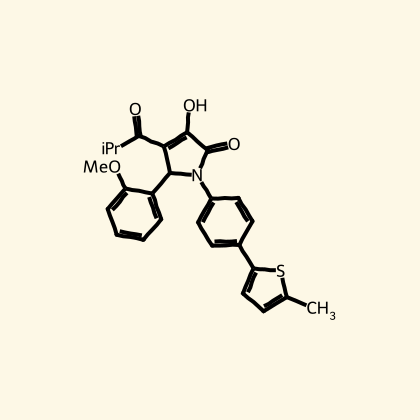 COc1ccccc1C1C(C(=O)C(C)C)=C(O)C(=O)N1c1ccc(-c2ccc(C)s2)cc1